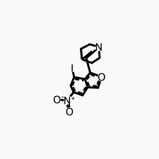 O=[N+]([O-])c1cc(I)c2c(C3=CN4CCC3CC4)occ2c1